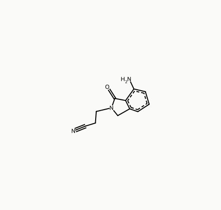 N#CCCN1Cc2cccc(N)c2C1=O